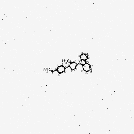 C=Cc1ccc(C2CC=C(n3c4c(c5cnccc53)C=NCC4)C=C2C)cc1